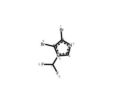 FC(F)n1cnc(Br)c1Br